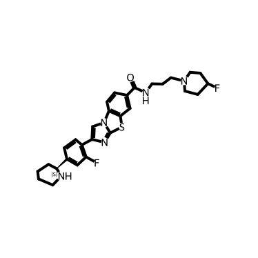 O=C(NCCCN1CCC(F)CC1)c1ccc2c(c1)sc1nc(-c3ccc([C@@H]4CCCCN4)cc3F)cn12